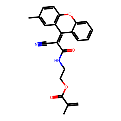 C=C(C)C(=O)OCCNC(=O)C(C#N)=C1c2ccccc2Oc2ccc(C)cc21